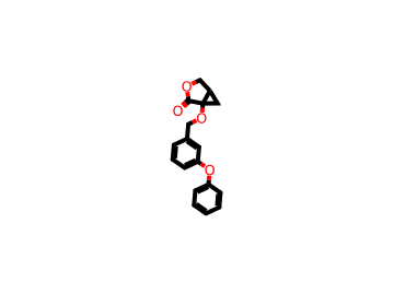 O=C1OCC2CC12OCc1cccc(Oc2ccccc2)c1